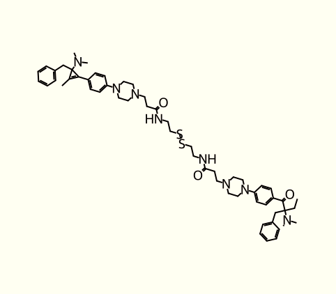 CCC(Cc1ccccc1)(C(=O)c1ccc(N2CCN(CCC(=O)NCCSSCCNC(=O)CCN3CCN(c4ccc(C5=C(C)C5(Cc5ccccc5)N(C)C)cc4)CC3)CC2)cc1)N(C)C